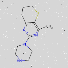 Cc1nc(N2CCNCC2)nc2c1SCCC2